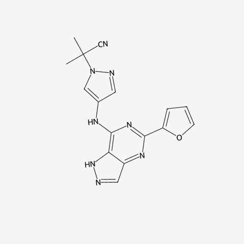 CC(C)(C#N)n1cc(Nc2nc(-c3ccco3)nc3cn[nH]c23)cn1